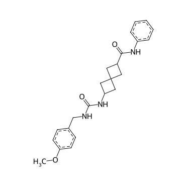 COc1ccc(CNC(=O)NC2CC3(C2)CC(C(=O)Nc2ccccc2)C3)cc1